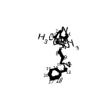 CC1CN2CC3O[Si](CCC/N=C\c4ccccc4)(O1)OC3(C)C2